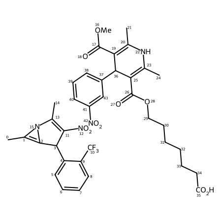 CC1=C2C(c3ccccc3C(F)(F)F)C([N+](=O)[O-])=C(C)N12.COC(=O)C1=C(C)NC(C)=C(C(=O)OCCCCCCC(=O)O)C1c1cccc([N+](=O)[O-])c1